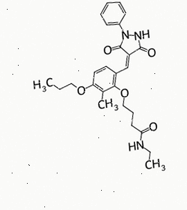 CCCOc1ccc(C=C2C(=O)NN(c3ccccc3)C2=O)c(OCCCC(=O)NCC)c1C